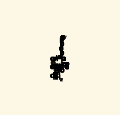 COC(=O)CC[C@H](NC(=O)CCCC(=O)NCCOCCOCCOCCN=[N+]=[N-])C(=O)N[C@H](C(=O)N[C@@H](CCCNC(N)=O)C(=O)Nc1ccc(CO)cc1)C(C)C